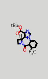 CC(C)(C)OC(=O)c1ncn2c1[C@@H]1CCN1C(=O)c1c-2cccc1C(F)(F)F